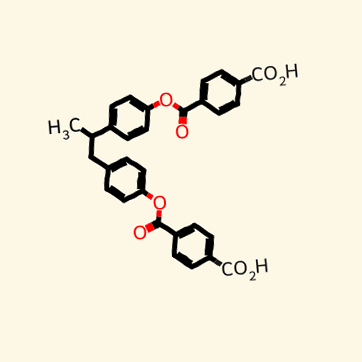 CC(Cc1ccc(OC(=O)c2ccc(C(=O)O)cc2)cc1)c1ccc(OC(=O)c2ccc(C(=O)O)cc2)cc1